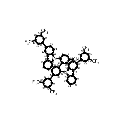 N#Cc1ccc(-n2c3ccccc3c3cc(-c4cc(C(F)(F)F)cc(C(F)(F)F)c4)ccc32)c(-c2ccc(-c3cc(C(F)(F)F)cc(C(F)(F)F)c3)cc2-n2c3ccccc3c3cc(-c4cc(C(F)(F)F)cc(C(F)(F)F)c4)ccc32)c1